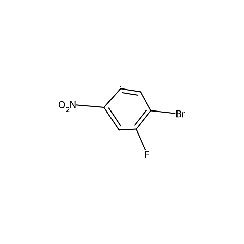 O=[N+]([O-])c1[c]cc(Br)c(F)c1